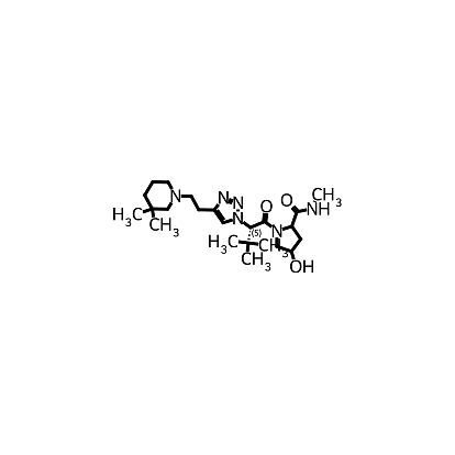 CNC(=O)C1CC(O)CN1C(=O)[C@@H](n1cc(CCN2CCCC(C)(C)C2)nn1)C(C)(C)C